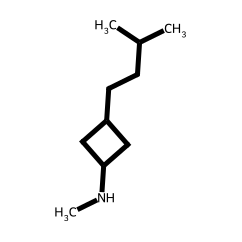 CNC1CC(CCC(C)C)C1